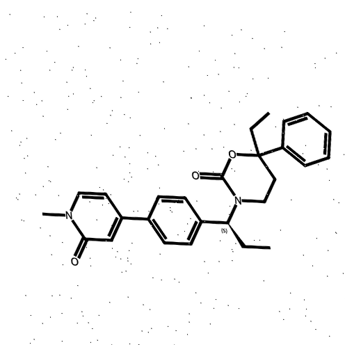 CC[C@@H](c1ccc(-c2ccn(C)c(=O)c2)cc1)N1CCC(CC)(c2ccccc2)OC1=O